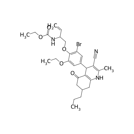 C=CC(COc1c(Br)cc(C2C(C#N)=C(C)NC3=C2C(=O)CC(CCC)C3)cc1OCC)NC(=O)OCC